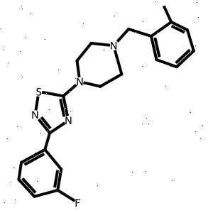 Cc1ccccc1CN1CCN(c2nc(-c3cccc(F)c3)ns2)CC1